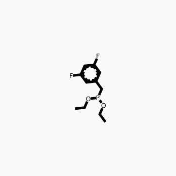 CCOP(Cc1cc(F)cc(F)c1)OCC